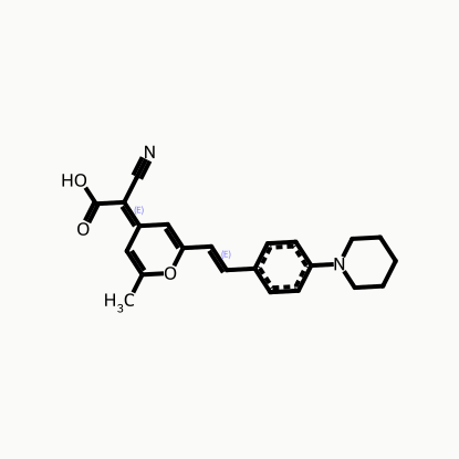 CC1=C/C(=C(/C#N)C(=O)O)C=C(/C=C/c2ccc(N3CCCCC3)cc2)O1